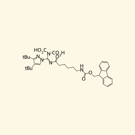 CC(C)(C)c1cn(C(=NC(=O)CCCCCNC(=O)OCC2c3ccccc3-c3ccccc32)N(C(=O)O)C(=O)O)nc1C(C)(C)C